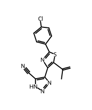 C=C(C)c1sc(-c2ccc(Cl)cc2)nc1-c1nn[nH]c1C#N